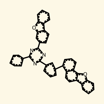 c1ccc(-c2nc(-c3cccc(-c4cccc5c4ccc4c6ccccc6oc54)c3)nc(-c3ccc4c(c3)oc3ccccc34)n2)cc1